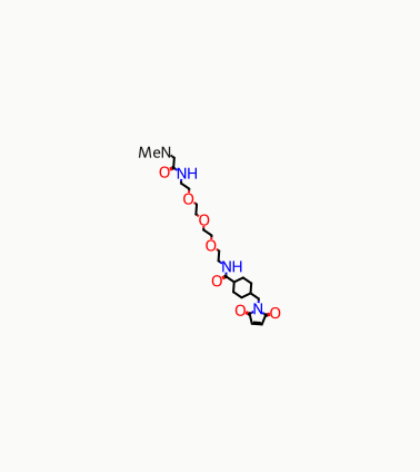 CNCC(=O)NCCOCCOCCOCCNC(=O)C1CCC(CN2C(=O)C=CC2=O)CC1